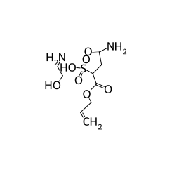 C=CCOC(=O)C(CC(N)=O)S(=O)(=O)O.NCCO